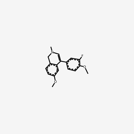 COc1ccc2c(c1)C(c1ccc(OC)c(F)c1)=CN(C)C2